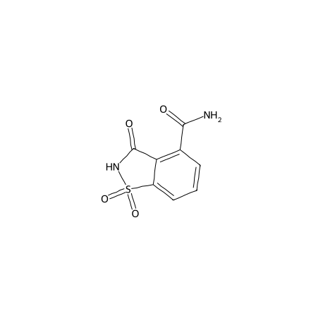 NC(=O)c1cccc2c1C(=O)NS2(=O)=O